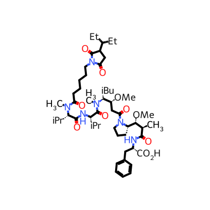 CCC(CC)C1CC(=O)N(CCCCCC(=O)N(C)[C@H](C(=O)N[C@H](C(=O)N(C)[C@@H]([C@@H](C)CC)[C@@H](CC(=O)N2CCC[C@H]2[C@H](OC)[C@@H](C)C(=O)N[C@@H](Cc2ccccc2)C(=O)O)OC)C(C)C)C(C)C)C1=O